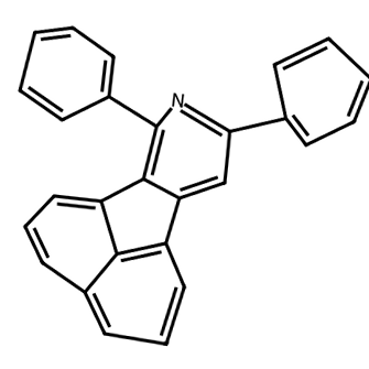 c1ccc(-c2cc3c(c(-c4ccccc4)n2)-c2cccc4cccc-3c24)cc1